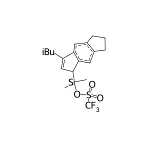 CCC(C)C1=CC([Si](C)(C)OS(=O)(=O)C(F)(F)F)c2cc3c(cc21)CCC3